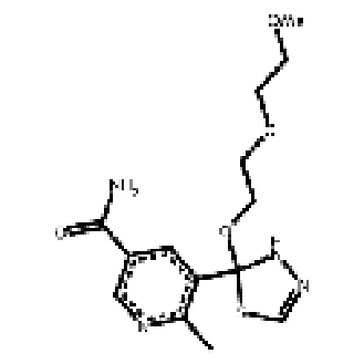 COCCOCCOC1(c2cc(C(N)=O)cnc2C)NN=CS1